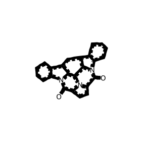 O=c1c2ccc3c(=O)n4c5ccccc5c5cc6c7ccccc7n1c6c(c54)n23